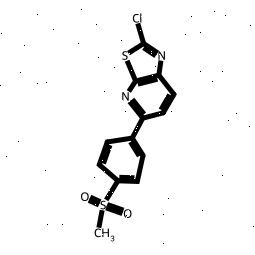 CS(=O)(=O)c1ccc(-c2ccc3nc(Cl)sc3n2)cc1